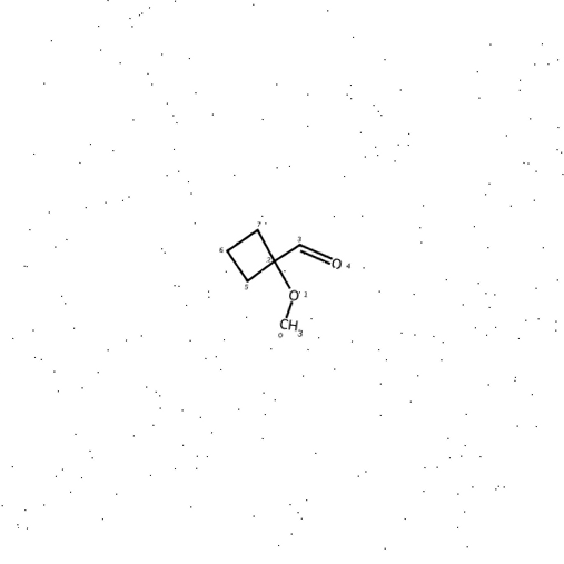 COC1(C=O)CCC1